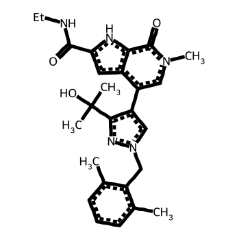 CCNC(=O)c1cc2c(-c3cn(Cc4c(C)cccc4C)nc3C(C)(C)O)cn(C)c(=O)c2[nH]1